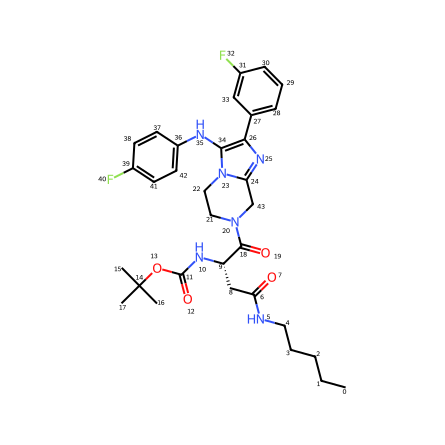 CCCCCNC(=O)C[C@H](NC(=O)OC(C)(C)C)C(=O)N1CCn2c(nc(-c3cccc(F)c3)c2Nc2ccc(F)cc2)C1